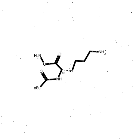 CCCCC(=O)N[C@@H](CCCCN)C(=O)ON